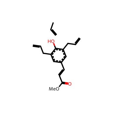 C=CC.C=CCc1cc(C=CC(=O)OC)cc(CC=C)c1O